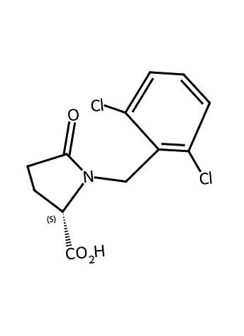 O=C(O)[C@@H]1CCC(=O)N1Cc1c(Cl)cccc1Cl